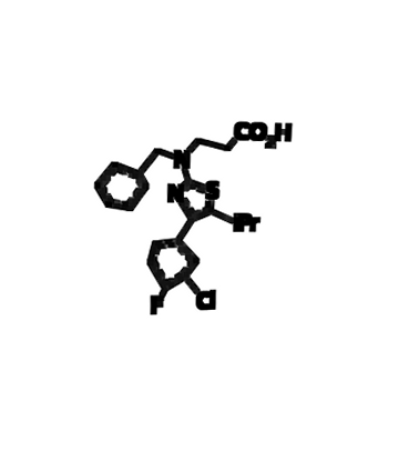 CC(C)c1sc(N(CCC(=O)O)Cc2ccccc2)nc1-c1ccc(F)c(Cl)c1